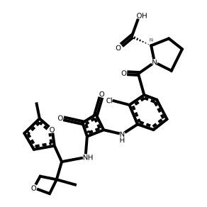 Cc1ccc(C(Nc2c(Nc3cccc(C(=O)N4CCC[C@H]4C(=O)O)c3Cl)c(=O)c2=O)C2(C)COC2)o1